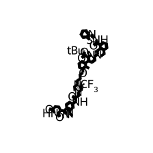 Cc1c(OCCCN2CCN(CC(=O)Nc3ccc4c(C5CCC(=O)NC5=O)nn(C)c4c3)C[C@@H]2C(F)(F)F)cccc1-c1ccc(N2CCc3cccc(C(=O)Nc4nc5ccccc5s4)c3C2)nc1C(=O)OC(C)(C)C